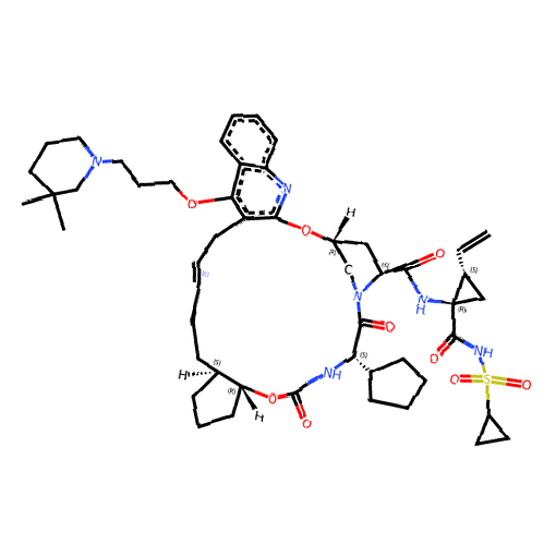 C=C[C@@H]1C[C@]1(NC(=O)[C@@H]1C[C@@H]2CN1C(=O)[C@H](C1CCCC1)NC(=O)O[C@@H]1CCC[C@H]1CC/C=C/Cc1c(nc3ccccc3c1OCCCN1CCCC(C)(C)C1)O2)C(=O)NS(=O)(=O)C1CC1